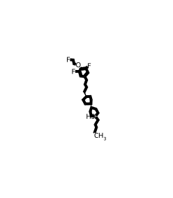 CCCCC[SiH]1CCC([C@H]2CC[C@H](CCCCc3cc(F)c(OCCF)c(F)c3)CC2)CC1